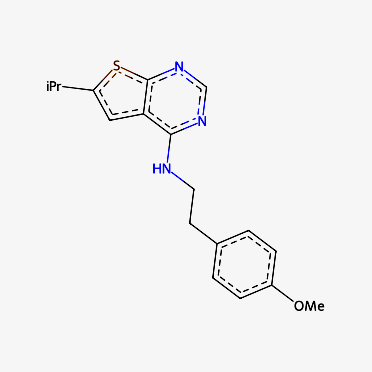 COc1ccc(CCNc2ncnc3sc(C(C)C)cc23)cc1